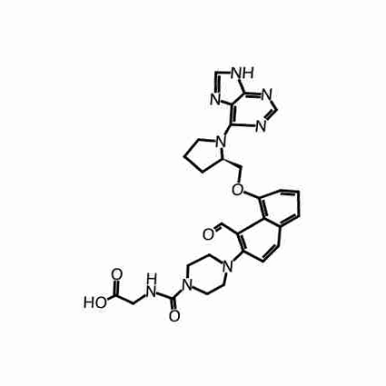 O=Cc1c(N2CCN(C(=O)NCC(=O)O)CC2)ccc2cccc(OC[C@H]3CCCN3c3ncnc4[nH]cnc34)c12